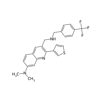 CN(C)c1ccc2cc(CNCc3ccc(C(F)(F)F)cc3)c(-c3ccsc3)nc2c1